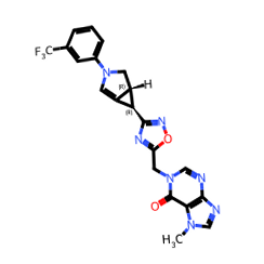 Cn1cnc2ncn(Cc3nc([C@H]4C5=CN(c6cccc(C(F)(F)F)c6)C[C@@H]54)no3)c(=O)c21